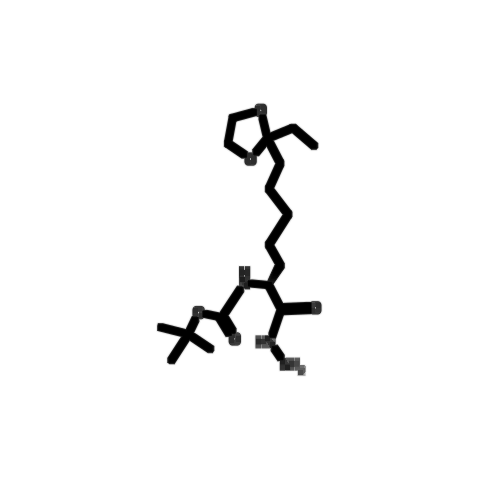 CCC1(CCCCC[C@H](NC(=O)OC(C)(C)C)C(=O)NN)OCCO1